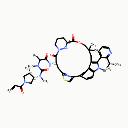 C=CC(=O)N1C[C@@H](N(C)C(=O)N(C)C(C(=O)N[C@H]2Cc3nc(cs3)-c3ccc4c(c3)c(c(-c3cccnc3[C@H](C)OC)n4CC)CC(C)(C)COC(=O)[C@@H]3CCCN(N3)C2=O)C(C)C)[C@@H](C)C1